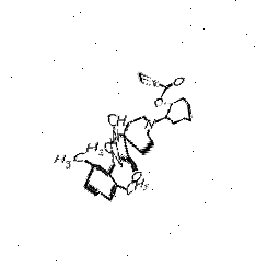 CCC(=O)O[C@@H]1CCCC[C@H]1N1CCC(C(=O)Nc2c(C)cccc2C)(N(C)C)CC1